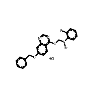 Cl.Fc1ccccc1N(Br)COc1ncnc2cc(OCc3ccccc3)ccc12